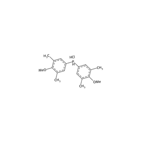 COc1c(C)cc(Pc2cc(C)c(OC)c(C)c2)cc1C.Cl